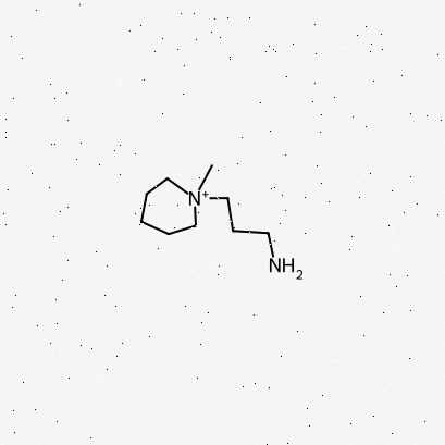 C[N+]1(CCCN)CCCCC1